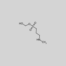 CNCCCS(=O)(=O)OCO